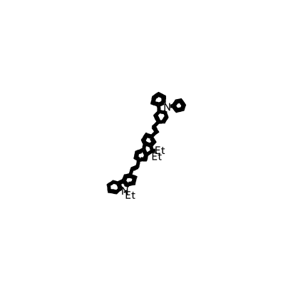 CCn1c2c(c3cc(/C=C/c4ccc5c(c4)C(CC)(CC)c4cc(/C=C/C6=CC7c8ccccc8N(c8ccccc8)C7C=C6)ccc4-5)ccc31)CCC=C2